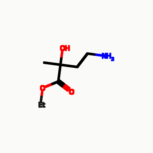 CCOC(=O)C(C)(O)CCN